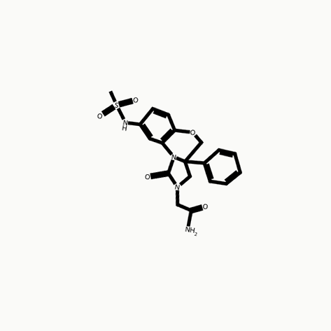 CS(=O)(=O)Nc1ccc2c(c1)N1C(=O)N(CC(N)=O)CC1(c1ccccc1)CO2